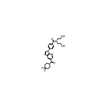 O=C(c1ccc(-n2ccc3cc(C(=O)N4CCC(F)(F)CC4)cnc32)cc1)N(CCO)CCO